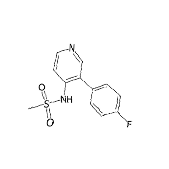 CS(=O)(=O)Nc1ccncc1-c1ccc(F)cc1